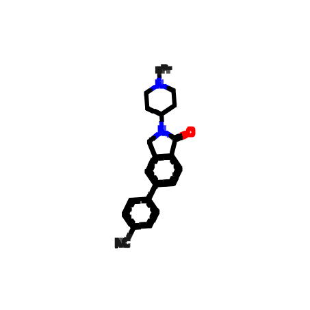 CCCN1CCC(N2Cc3cc(-c4ccc(C#N)cc4)ccc3C2=O)CC1